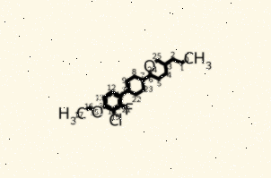 CCCC1CCC(C2CC=C(c3ccc(OCC)c(Cl)c3F)CC2)OC1